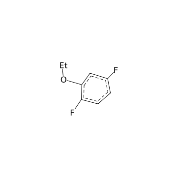 [CH2]COc1cc(F)ccc1F